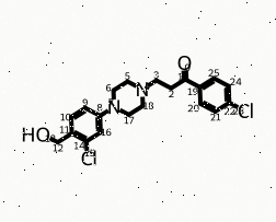 O=C(CCN1CCN(c2ccc(CO)c(Cl)c2)CC1)c1ccc(Cl)cc1